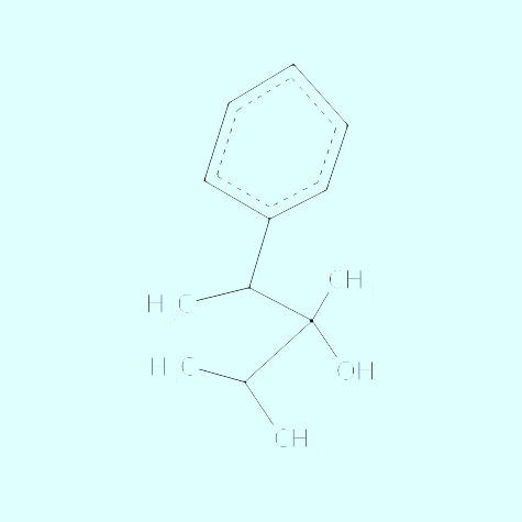 CC(C)C(C)(O)C(C)c1ccccc1